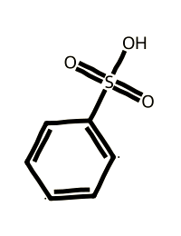 O=S(=O)(O)c1[c]c[c]cc1